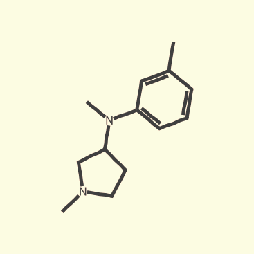 Cc1cccc(N(C)C2CCN(C)C2)c1